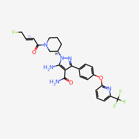 NC(=O)c1c(-c2ccc(Oc3cccc(C(F)(F)F)n3)cc2)nn([C@@H]2CCCN(C(=O)/C=C/CF)C2)c1N